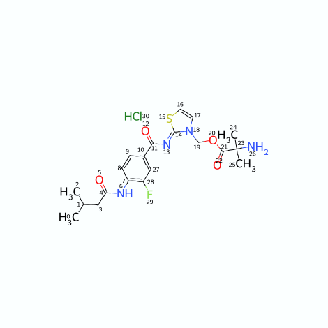 CC(C)CC(=O)Nc1ccc(C(=O)N=c2sccn2COC(=O)C(C)(C)N)cc1F.Cl